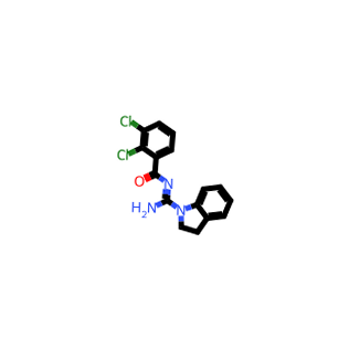 NC(=NC(=O)c1cccc(Cl)c1Cl)N1CCc2ccccc21